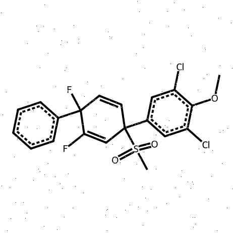 COc1c(Cl)cc(C2(S(C)(=O)=O)C=CC(F)(c3ccccc3)C(F)=C2)cc1Cl